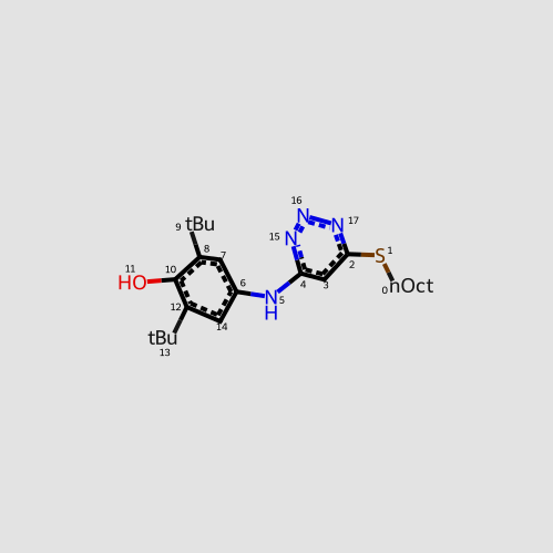 CCCCCCCCSc1cc(Nc2cc(C(C)(C)C)c(O)c(C(C)(C)C)c2)nnn1